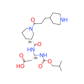 CC(C)COC(=O)N[C@H](CC(=O)O)NC(=O)[C@@H]1CCCN(C(=O)CCC2CCNCC2)C1